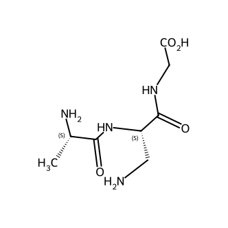 C[C@H](N)C(=O)N[C@@H](CN)C(=O)NCC(=O)O